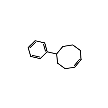 C1=CCCC(c2ccccc2)CCC1